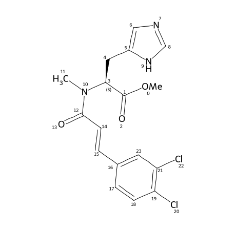 COC(=O)[C@H](Cc1cnc[nH]1)N(C)C(=O)C=Cc1ccc(Cl)c(Cl)c1